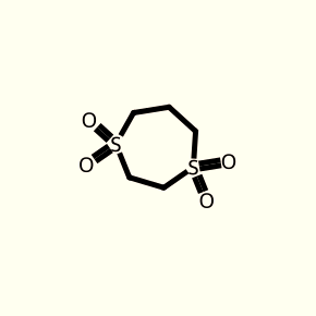 O=S1(=O)CCCS(=O)(=O)CC1